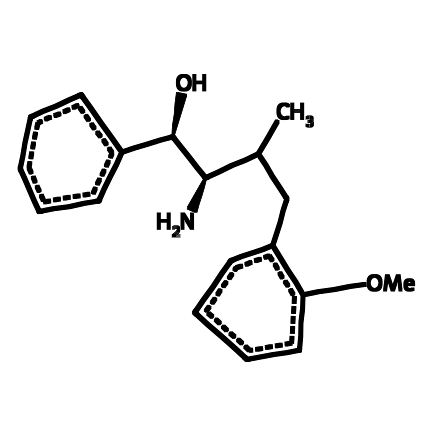 COc1ccccc1CC(C)[C@@H](N)[C@H](O)c1ccccc1